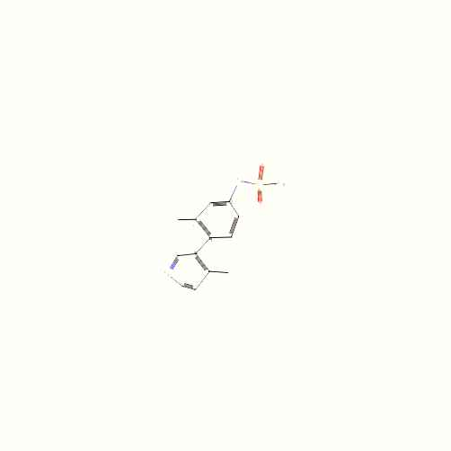 CCCS(=O)(=O)Nc1ccc(-c2cnccc2C)c(C)c1